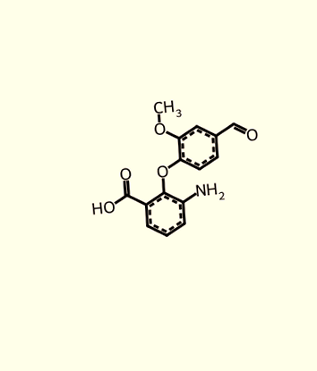 COc1cc(C=O)ccc1Oc1c(N)cccc1C(=O)O